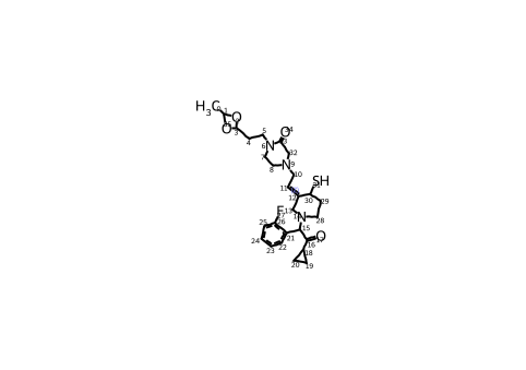 CC1OC(CCN2CCN(C/C=C3/CN(C(C(=O)C4CC4)c4ccccc4F)CCC3S)CC2=O)O1